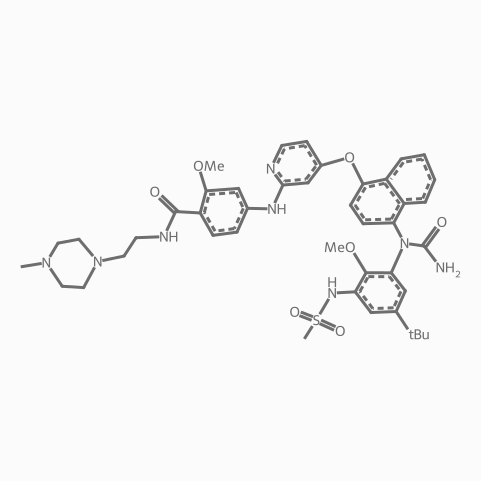 COc1cc(Nc2cc(Oc3ccc(N(C(N)=O)c4cc(C(C)(C)C)cc(NS(C)(=O)=O)c4OC)c4ccccc34)ccn2)ccc1C(=O)NCCN1CCN(C)CC1